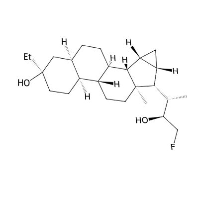 CC[C@@]1(O)CC[C@H]2[C@H](CC[C@@H]3[C@@H]2CC[C@@]2(C)[C@H]3[C@@H]3C[C@@H]3[C@@H]2[C@H](C)[C@H](O)CF)C1